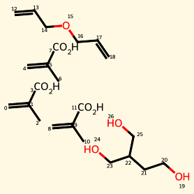 C=C(C)C(=O)O.C=C(C)C(=O)O.C=C(C)C(=O)O.C=CCOCC=C.OCCC(CO)CO